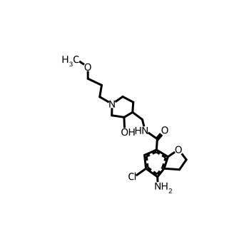 COCCCN1CCC(CNC(=O)c2cc(Cl)c(N)c3c2OCC3)C(O)C1